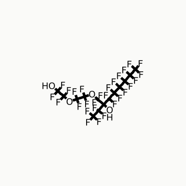 OC(F)(F)C(F)(F)OC(F)(F)C(F)(F)OC(F)(F)C(O)(C(F)(F)C(F)(F)F)C(F)(F)C(F)(F)C(F)(F)C(F)(F)C(F)(F)C(F)(F)F